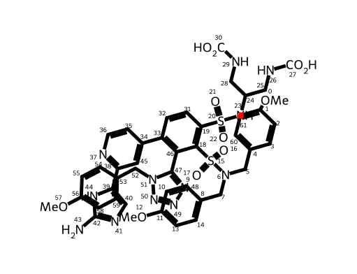 COc1ccc(CN(Cc2ccc(OC)cc2)S(=O)(=O)c2c(S(=O)(=O)NC(CNC(=O)O)CNC(=O)O)ccc(-c3ccnc(-c4cnc(N)[nH]4)c3)c2-c2nnnn2Cc2ccc(OC)cc2)cc1